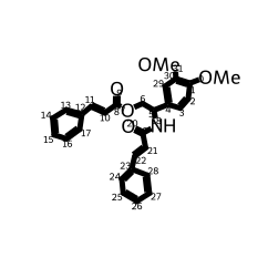 COc1ccc(C(COC(=O)C=Cc2ccccc2)NC(=O)C=Cc2ccccc2)cc1OC